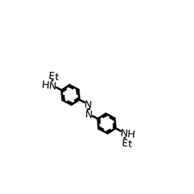 CCNc1ccc(/N=N/c2ccc(NCC)cc2)cc1